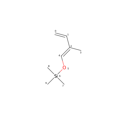 C=CC(C)=CO[Si](C)(C)C